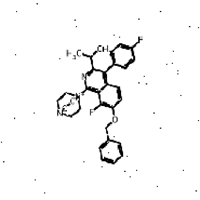 CC(C)c1nc([N+]23CCN(CC2)CC3)c2c(F)c(OCc3ccccc3)ccc2c1-c1ccc(F)cc1